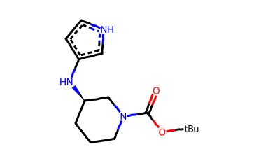 CC(C)(C)OC(=O)N1CCC[C@@H](Nc2cc[nH]c2)C1